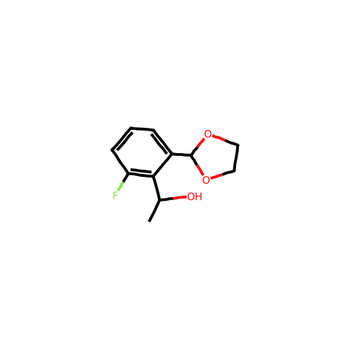 CC(O)c1c(F)cccc1C1OCCO1